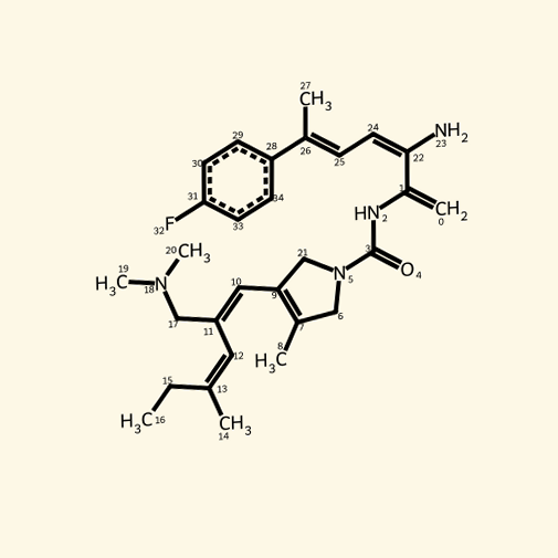 C=C(NC(=O)N1CC(C)=C(/C=C(\C=C(\C)CC)CN(C)C)C1)/C(N)=C\C=C(/C)c1ccc(F)cc1